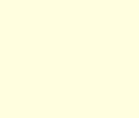 COCCOCCOCC(OC)C(CO)OCCOCCOCCO